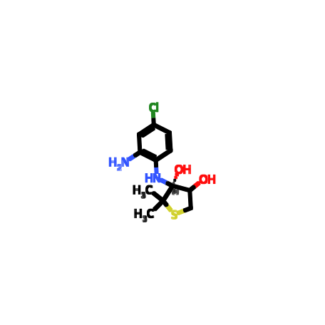 CC1(C)SCC(O)[C@]1(O)Nc1ccc(Cl)cc1N